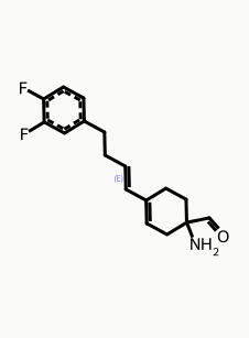 NC1(C=O)CC=C(/C=C/CCc2ccc(F)c(F)c2)CC1